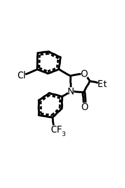 CCC1OC(c2cccc(Cl)c2)N(c2cccc(C(F)(F)F)c2)C1=O